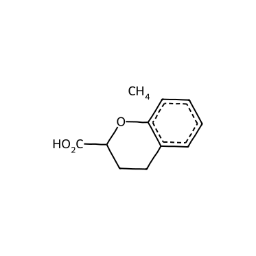 C.O=C(O)C1CCc2ccccc2O1